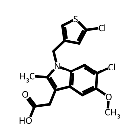 COc1cc2c(CC(=O)O)c(C)n(Cc3csc(Cl)c3)c2cc1Cl